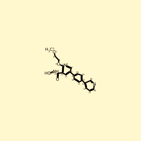 COCCOc1ncc(-c2ccc(-c3cccnc3)cc2)cc1C(=O)NO